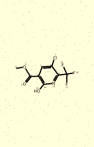 COC(=O)c1cc(Cl)c(C(F)(F)F)nc1O